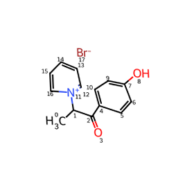 CC(C(=O)c1ccc(O)cc1)[n+]1ccccc1.[Br-]